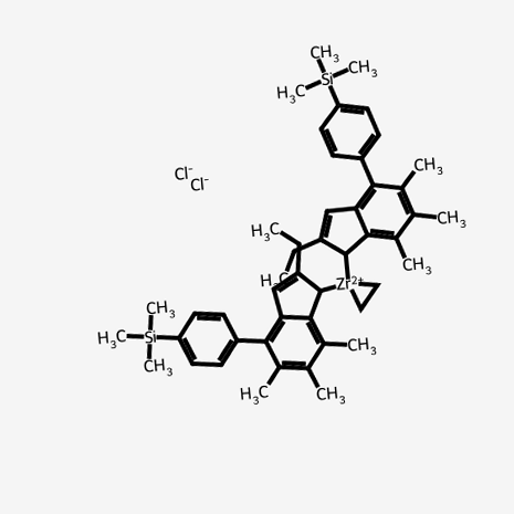 CCC1=Cc2c(-c3ccc([Si](C)(C)C)cc3)c(C)c(C)c(C)c2[CH]1[Zr+2]1([CH]2C(CC)=Cc3c(-c4ccc([Si](C)(C)C)cc4)c(C)c(C)c(C)c32)[CH2][CH2]1.[Cl-].[Cl-]